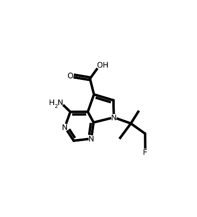 CC(C)(CF)n1cc(C(=O)O)c2c(N)ncnc21